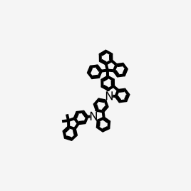 CC1(C)c2ccccc2-c2cc(-n3c4ccccc4c4cc(-n5c6ccccc6c6cc(C7(c8ccccc8)c8ccccc8-c8ccccc87)ccc65)ccc43)ccc21